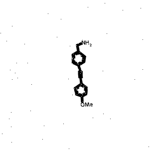 COc1ccc(C#Cc2ccc(CN)cc2)cc1